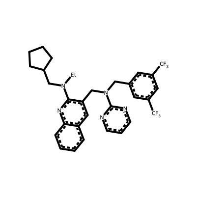 CCN(CC1CCCC1)c1nc2ccccc2cc1CN(Cc1cc(C(F)(F)F)cc(C(F)(F)F)c1)c1ncccn1